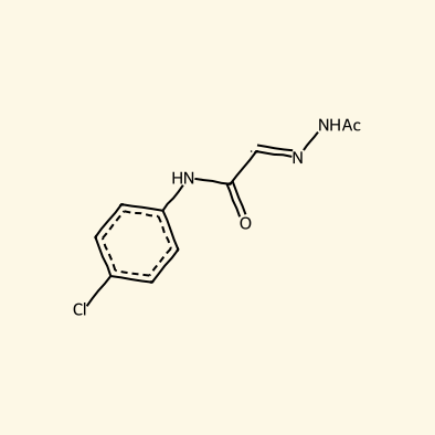 CC(=O)NN=[C]C(=O)Nc1ccc(Cl)cc1